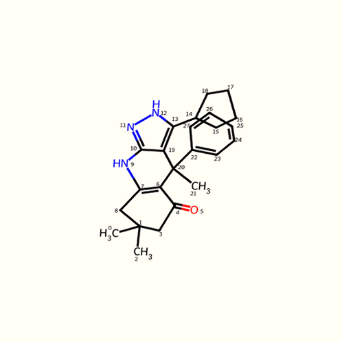 CC1(C)CC(=O)C2=C(C1)Nc1n[nH]c(C3CCCC3)c1C2(C)c1ccccc1